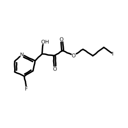 O=C(OCCCI)C(=O)C(O)c1cc(F)ccn1